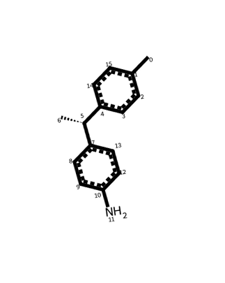 Cc1ccc([C@@H](C)c2ccc(N)cc2)cc1